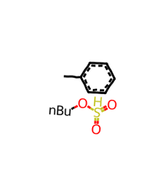 CCCCO[SH](=O)=O.Cc1ccccc1